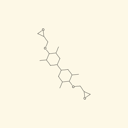 CC1CC(C2CC(C)C(OCC3CO3)C(C)C2)CC(C)C1OCC1CO1